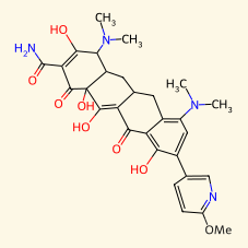 COc1ccc(-c2cc(N(C)C)c3c(c2O)C(=O)C2=C(O)C4(O)C(=O)C(C(N)=O)=C(O)C(N(C)C)C4CC2C3)cn1